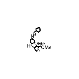 COCc1nccc(NC2CCC(=NOCc3ccccc3)CC2)c1OC